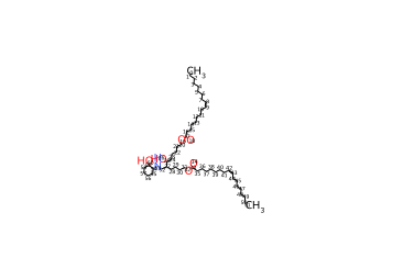 CCCCCCCC/C=C\CCCCCCCC(=O)OCCCCCC(O)C(CCCCOC(=O)CCCCCCC/C=C\CCCCCCCC)CN[C@H]1CCCC[C@H]1O